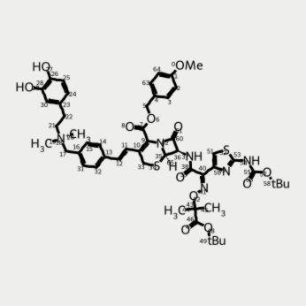 COc1ccc(COC(=O)C2=C(/C=C/c3ccc(C[N+](C)(C)CCc4ccc(O)c(O)c4)cc3)CS[C@@H]3[C@H](NC(=O)/C(=N\OC(C)(C)C(=O)OC(C)(C)C)c4csc(NC(=O)OC(C)(C)C)n4)C(=O)N23)cc1